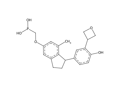 Cc1cc(OCP(O)O)cc2c1C(c1ccc(O)c(C3COC3)c1)CC2